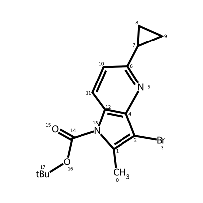 Cc1c(Br)c2nc(C3CC3)ccc2n1C(=O)OC(C)(C)C